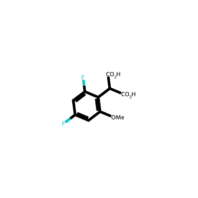 COc1cc(F)cc(F)c1C(C(=O)O)C(=O)O